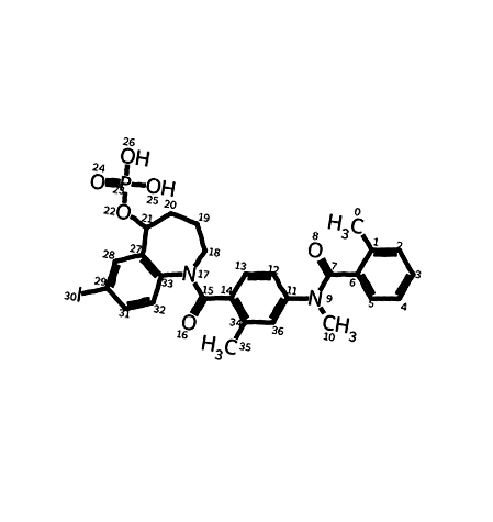 Cc1ccccc1C(=O)N(C)c1ccc(C(=O)N2CCCC(OP(=O)(O)O)c3cc(I)ccc32)c(C)c1